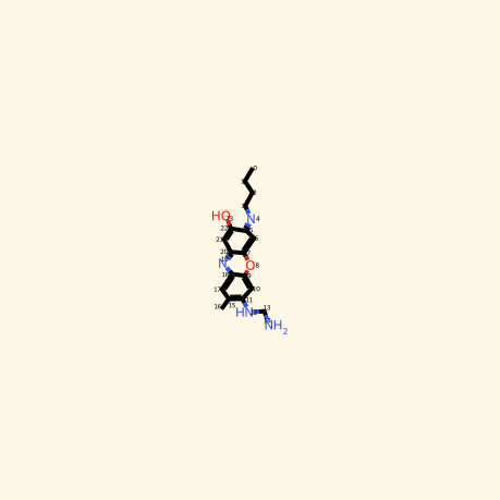 CCCC/N=c1/cc2oc3cc(NCN)c(C)cc3nc-2cc1O